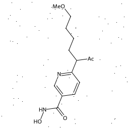 COCCCCC(C(C)=O)c1ccc(C(=O)NO)cn1